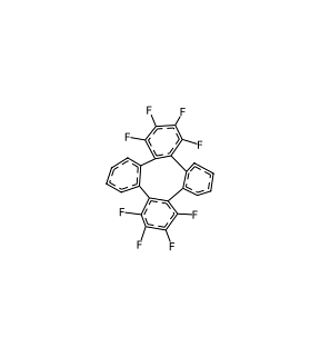 Fc1c(F)c(F)c2c(c1F)-c1ccccc1-c1c(F)c(F)c(F)c(F)c1-c1ccccc1-2